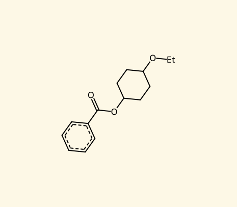 CCOC1CCC(OC(=O)c2ccccc2)CC1